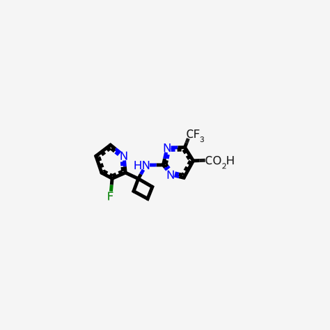 O=C(O)c1cnc(NC2(c3ncccc3F)CCC2)nc1C(F)(F)F